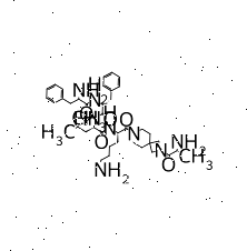 CC(C)C[C@@H](NC(=O)[C@@H](Cc1ccccc1)NC(=O)[C@H](N)Cc1ccccc1)C(=O)N[C@H](CCCCN)C(=O)N1CCC2(CC1)CN(C(=O)[C@@H](C)N)C2